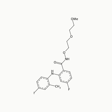 COCCOCCONC(=O)c1ccc(F)cc1Nc1ccc(I)cc1C